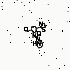 O=Cc1ccc(-c2nccs2)c2oc(N3CC4CCC(C3)N4)nc12